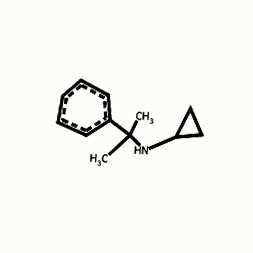 CC(C)(NC1CC1)c1ccccc1